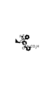 O=C(O)c1cccc(C(=O)N2CCC(N(OC(F)F)c3ccccc3)[C@@H](OCC3CC3)C2)n1